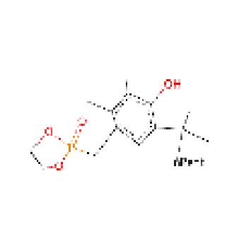 CCCCCC(C)(C)c1cc(CP2(=O)OCCO2)c(C)c(C)c1O